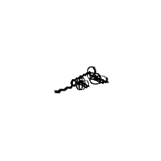 CCCCCCC1C=CC(CCCCCCCC(=O)OOC(=O)OC(C)C)C(C(=O)OOC(=O)OC(C)C)C1